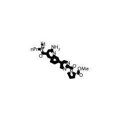 CCCN(OCC)C(=O)C1=Cc2ccc(-c3cnc(C(=O)N4CCC[C@H]4C(=O)OC)nc3)cc2N=C(N)C1